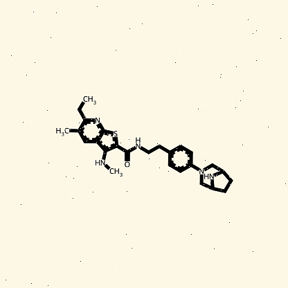 CCc1nc2sc(C(=O)NCCc3ccc(N4CC5CCC(C4)N5)cc3)c(NC)c2cc1C